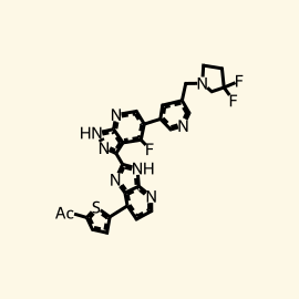 CC(=O)c1ccc(-c2ccnc3[nH]c(-c4n[nH]c5ncc(-c6cncc(CN7CCC(F)(F)C7)c6)c(F)c45)nc23)s1